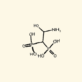 NC(O)C(P(=O)(O)O)P(=O)(O)O